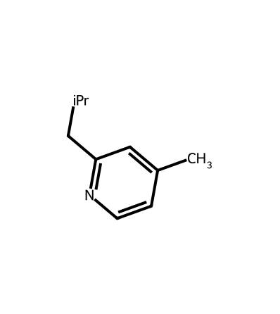 Cc1ccnc(CC(C)C)c1